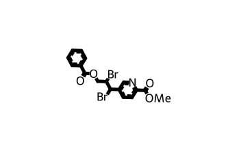 COC(=O)c1ccc(C(Br)C(Br)COC(=O)c2ccccc2)cn1